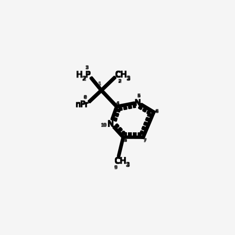 CCCC(C)(P)c1nccc(C)n1